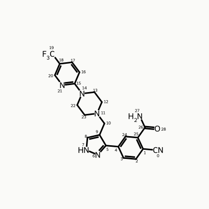 N#Cc1ccc(-c2n[nH]cc2CN2CCN(c3ccc(C(F)(F)F)cn3)CC2)cc1C(N)=O